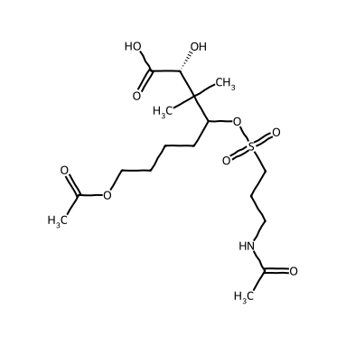 CC(=O)NCCCS(=O)(=O)OC(CCCCOC(C)=O)C(C)(C)[C@@H](O)C(=O)O